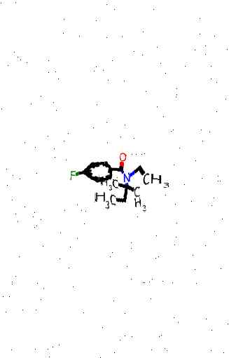 CCN(C(=O)c1ccc(F)cc1)C(C)(C)CC